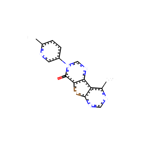 CNc1ncnc2sc3c(=O)n(-c4ccc(C)nc4)cnc3c12